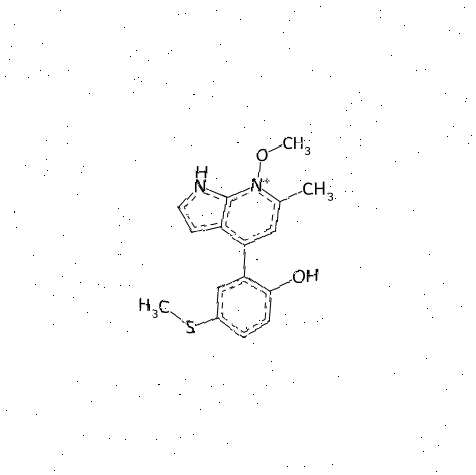 CO[n+]1c(C)cc(-c2cc(SC)ccc2O)c2cc[nH]c21